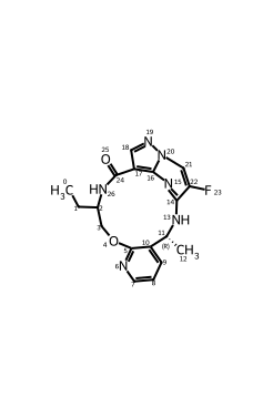 CCC1COc2ncccc2[C@@H](C)Nc2nc3c(cnn3cc2F)C(=O)N1